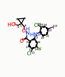 O=C(NOCC1(CO)CC1)c1cc(Cl)c(F)cc1Nc1ccc(I)cc1Cl